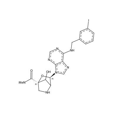 CNC(=O)[C@@]12CNC(C1O)[C@H](n1cnc3c(NCc4cccc(I)c4)ncnc31)O2